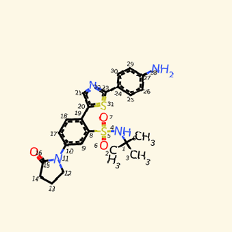 CC(C)(C)NS(=O)(=O)c1cc(N2CCCC2=O)ccc1-c1cnc(-c2ccc(N)cc2)s1